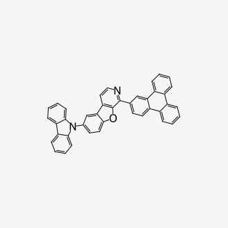 c1ccc2c(c1)c1ccccc1c1cc(-c3nccc4c3oc3ccc(-n5c6ccccc6c6ccccc65)cc34)ccc21